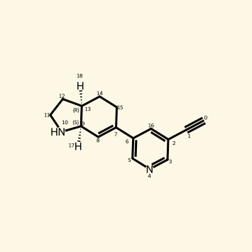 C#Cc1cncc(C2=C[C@H]3NCC[C@H]3CC2)c1